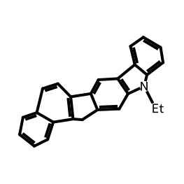 CCn1c2ccccc2c2cc3c(cc21)Cc1c-3ccc2ccccc12